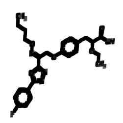 CCCCO/N=C(\COc1ccc(CC(OCC)C(=O)O)cc1)c1nnc(-c2ccc(F)cc2)o1